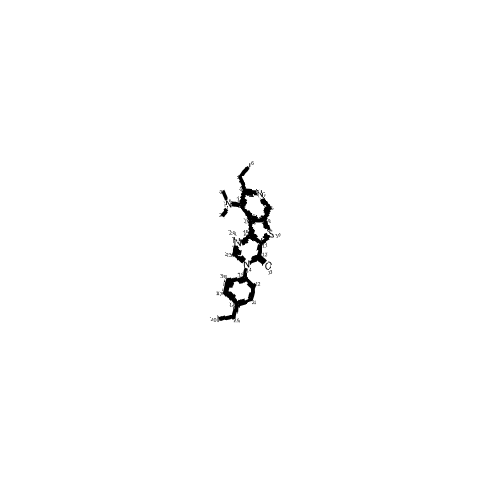 CN(C)c1c(CI)ncc2sc3c(=O)n(-c4ccc(CI)cc4)cnc3c12